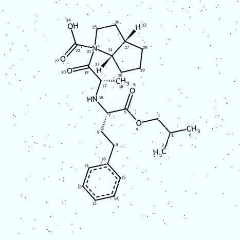 CC(C)COC(=O)[C@H](CCc1ccccc1)N[C@@H](C)C(=O)[N+]1(C(=O)O)CC[C@@H]2CCC[C@@H]21